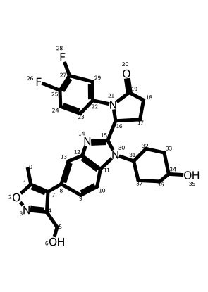 Cc1onc(CO)c1-c1ccc2c(c1)nc(C1CCC(=O)N1c1ccc(F)c(F)c1)n2C1CCC(O)CC1